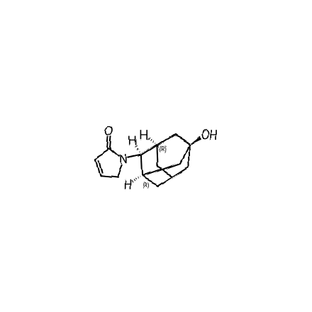 O=C1C=CCN1[C@H]1[C@@H]2CC3C[C@@H]1C[C@@](O)(C3)C2